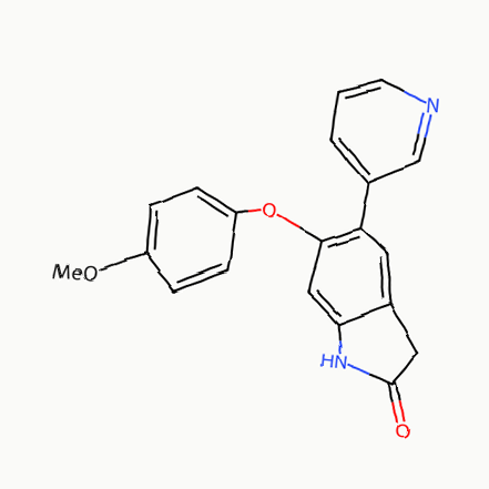 COc1ccc(Oc2cc3c(cc2-c2cccnc2)CC(=O)N3)cc1